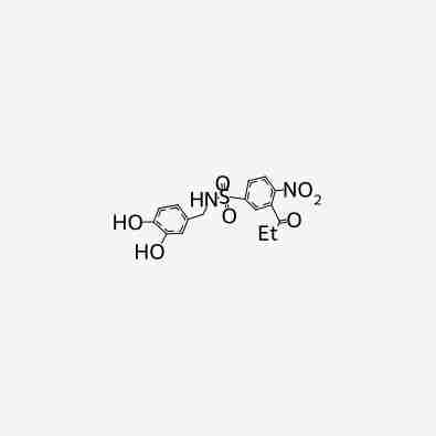 CCC(=O)c1cc(S(=O)(=O)NCc2ccc(O)c(O)c2)ccc1[N+](=O)[O-]